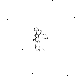 O=C(CN1CCN2CCSCC2C1)Nc1nc(-c2ccco2)c(C(=O)C2CCOCC2)s1